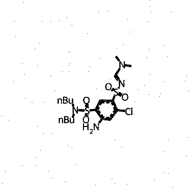 CCCCN(CCCC)S(=O)(=O)c1cc(S(=O)(=O)N=CN(C)C)c(Cl)cc1N